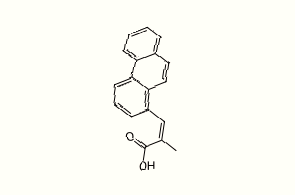 CC(=Cc1cccc2c1ccc1ccccc12)C(=O)O